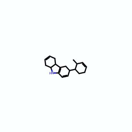 CC1C=CCCC1C1C=CC2=C(C1)C1CC=CCC1N2